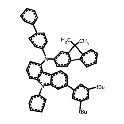 CC(C)(C)c1cc(-c2ccc3c4c(N(c5ccc(-c6ccccc6)cc5)c5ccc6c(c5)C(C)(C)c5ccccc5-6)cccc4n(-c4ccccc4)c3c2)cc(C(C)(C)C)c1